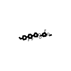 CCOc1ccc(C(=O)Oc2ccc(-c3ccc(C4CCC(CC)CC4)c(F)c3F)cc2)cc1F